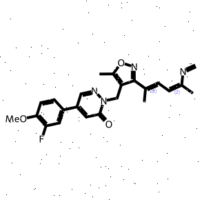 C=N/C(C)=C\C=C(/C)c1noc(C)c1Cn1ncc(-c2ccc(OC)c(F)c2)cc1=O